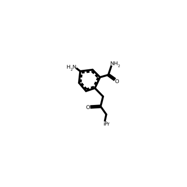 CC(C)CC(=O)Cc1ccc(N)cc1C(N)=O